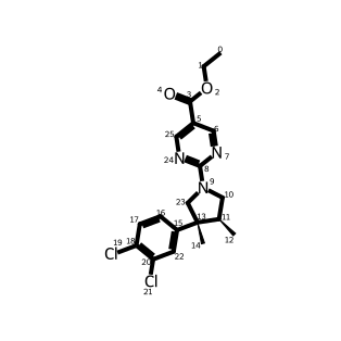 CCOC(=O)c1cnc(N2C[C@@H](C)[C@](C)(c3ccc(Cl)c(Cl)c3)C2)nc1